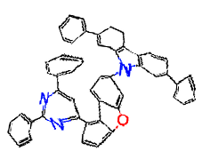 C1=C(c2ccccc2)CCc2c1n(-c1ccc3c(c1)oc1cccc(-c4cc(-c5ccccc5)nc(-c5ccccc5)n4)c13)c1cc(-c3ccccc3)ccc21